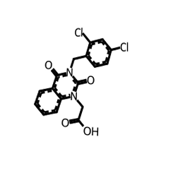 O=C(O)Cn1c(=O)n(Cc2ccc(Cl)cc2Cl)c(=O)c2ccccc21